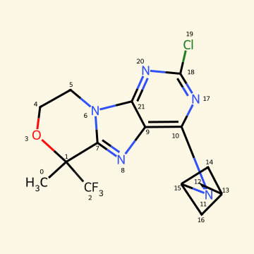 CC1(C(F)(F)F)OCCn2c1nc1c(N3CC4CC3C4)nc(Cl)nc12